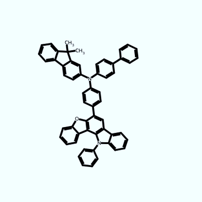 CC1(C)c2ccccc2-c2ccc(N(c3ccc(-c4ccccc4)cc3)c3ccc(-c4cc5c6ccccc6n(-c6ccccc6)c5c5c4oc4ccccc45)cc3)cc21